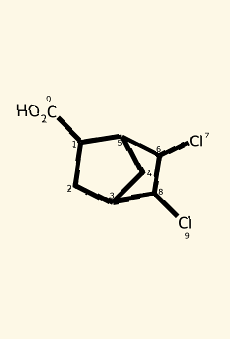 O=C(O)C1CC2CC1C(Cl)C2Cl